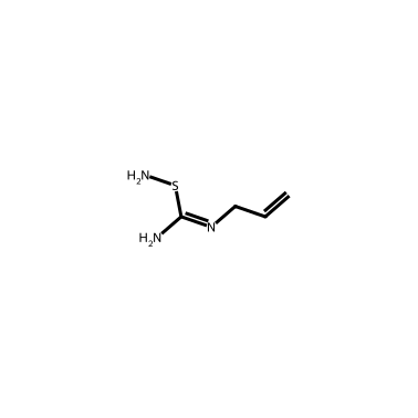 C=CCN=C(N)SN